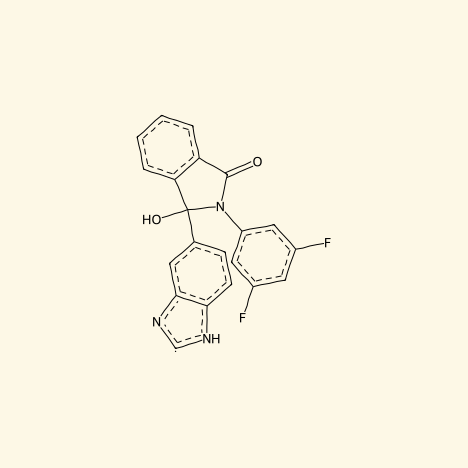 O=C1c2ccccc2C(O)(c2ccc3[nH][c]nc3c2)N1c1cc(F)cc(F)c1